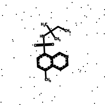 CCC(C)(C)NS(=O)(=O)c1ccc(C)c2ccncc12